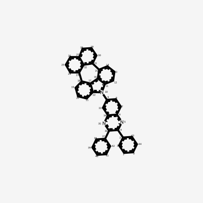 c1ccc(-c2nc3ccc(-n4c5cccc6c5c5c(cccc54)-c4cccc5cccc-6c45)cc3nc2-c2ccccc2)cc1